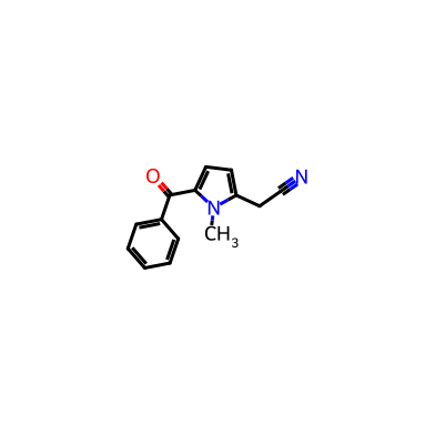 Cn1c(CC#N)ccc1C(=O)c1ccccc1